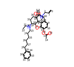 C=CCN1CC[C@]23c4c5ccc(OC(C)=O)c4OC2C(N(CC)CCCCCCc2ccccc2)CC[C@@]3(O)[C@H]1C5